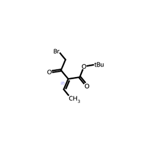 C/C=C(/C(=O)CBr)C(=O)OC(C)(C)C